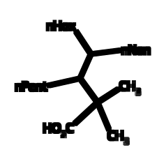 CCCCCCCCCC(CCCCCC)C(CCCCC)C(C)(C)C(=O)O